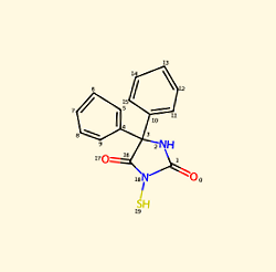 O=C1NC(c2ccccc2)(c2ccccc2)C(=O)N1S